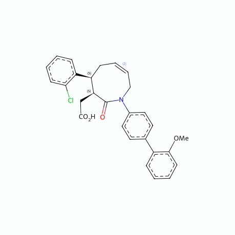 COc1ccccc1-c1ccc(N2C/C=C\C[C@H](c3ccccc3Cl)[C@H](CC(=O)O)C2=O)cc1